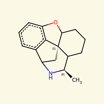 C[C@H]1NC2C[C@]34c5c(cccc52)OC3CCCC14